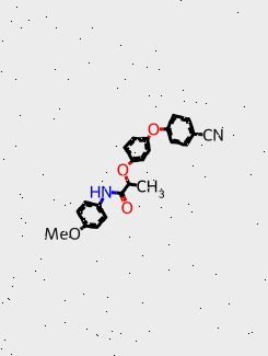 COc1ccc(NC(=O)C(C)Oc2ccc(Oc3ccc(C#N)cc3)cc2)cc1